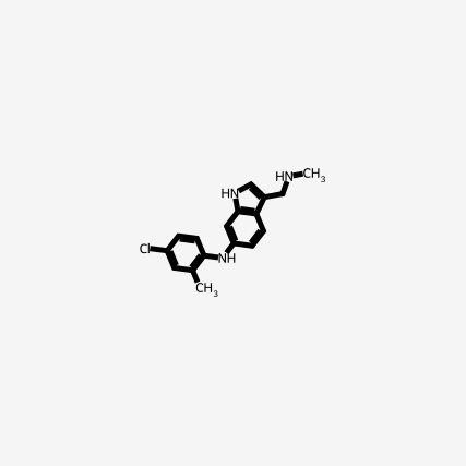 CNCc1c[nH]c2cc(Nc3ccc(Cl)cc3C)ccc12